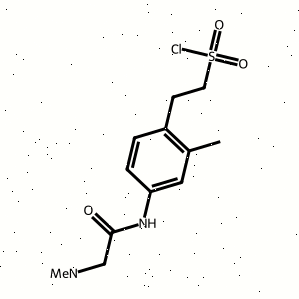 CNCC(=O)Nc1ccc(CCS(=O)(=O)Cl)c(C)c1